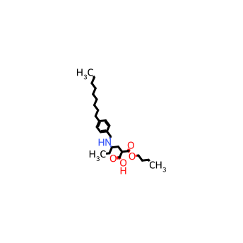 CCCCCCCCCc1ccc(CNC(CC)CC(C(=O)O)C(=O)OCCCC)cc1